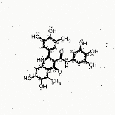 Cc1cc(-c2[nH]c3cc(O)c(O)c(C)c3c(=O)c2C(=O)Nc2cc(O)c(O)c(O)c2)cc(O)c1O